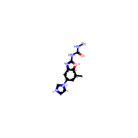 CCNC(=O)Nc1nc2cc(-n3ccnc3)cc(C)c2o1